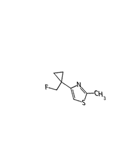 Cc1nc(C2(CF)CC2)cs1